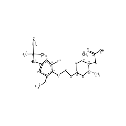 CCc1cc(NC(C)(C)C#N)cc(F)c1OCCN1C[C@@H](C)N(CC(=O)O)[C@@H](C)C1